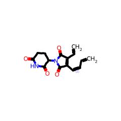 C=C/C=C\C1=C(C=C)C(=O)N(C2CCC(=O)NC2=O)C1=O